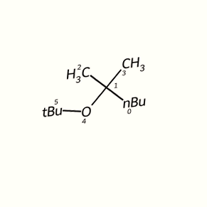 CCCCC(C)(C)OC(C)(C)C